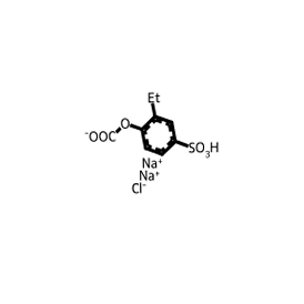 CCc1cc(S(=O)(=O)O)ccc1OC(=O)[O-].[Cl-].[Na+].[Na+]